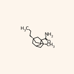 CCC[C@@]12CC3CC(C(N)=O)(C1)[C@](C)(C3)C2